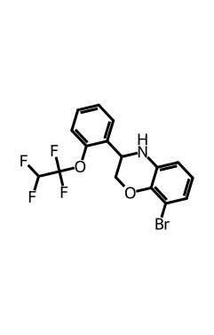 FC(F)C(F)(F)Oc1ccccc1C1COc2c(Br)cccc2N1